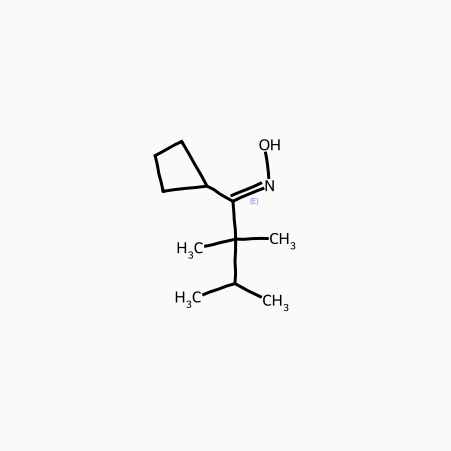 CC(C)C(C)(C)/C(=N/O)C1CCC1